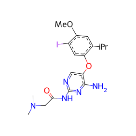 COc1cc(C(C)C)c(Oc2cnc(NC(=O)CN(C)C)nc2N)cc1I